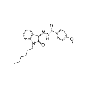 CCCCCCN1C(=O)C(=NNC(=O)c2ccc(OC)cc2)c2ccccc21